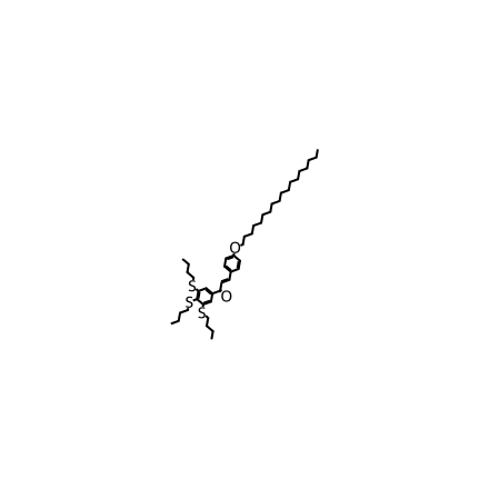 CCCCCCCCCCCCCCCCCCOc1ccc(C=CC(=O)c2cc(SCCCC)c(SCCCC)c(SCCCC)c2)cc1